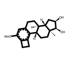 COc1cc2c(c3c1CC3)[C@H]1CC[C@]3(C)[C@H](O)[C@H](O)C[C@H]3[C@@H]1CC2